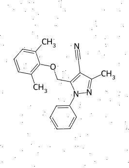 Cc1cccc(C)c1OCc1c(C#N)c(C)nn1-c1ccccc1